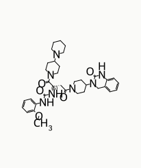 COc1ccccc1NC(=O)N[C@@H](CC(=O)N1CCC(N2Cc3ccccc3NC2=O)CC1)C(=O)N1CCC(N2CCCCC2)CC1